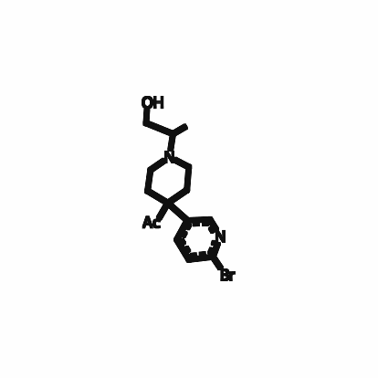 CC(=O)C1(c2ccc(Br)nc2)CCN(C(C)CO)CC1